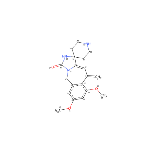 C=C1C=C2N(Cc3cc(OC)cc(OC)c31)C(=O)NC21CCNCC1